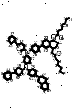 CCCCCCC(=O)CC1CCC(OC(=O)CCCCCC)c2ccc(-c3ccc(N(c4ccc(-c5ccccc5)cc4)c4ccc(N(c5ccc(-c6ccccc6)cc5)c5ccc(-c6ccc7ccccc7c6)cc5)cc4)cc3)cc21